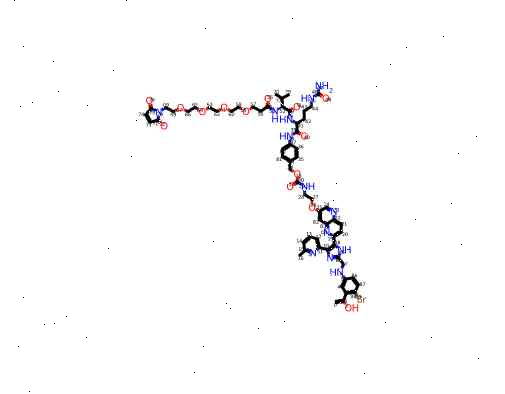 C=C(O)c1cc(NCc2nc(-c3cccc(C)n3)c(-c3ccc4ncc(OCCNC(=O)OCc5ccc(NC(=O)C(CCCNC(N)=O)NC(=O)[C@@H](NC(=O)CCOCCOCCOCCOCCN6C(=O)C=CC6=O)C(C)C)cc5)cc4n3)[nH]2)ccc1Br